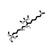 CO[Si](CCCNC[SiH2]C(CCCCCN(C)C)[Si](C)(OC)OC)(OC)OC